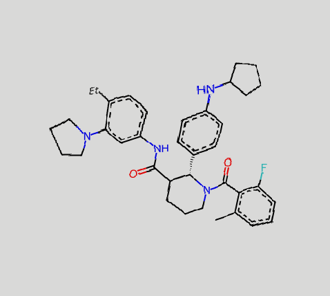 CCc1ccc(NC(=O)C2CCCN(C(=O)c3c(C)cccc3F)[C@H]2c2ccc(NC3CCCC3)cc2)cc1N1CCCC1